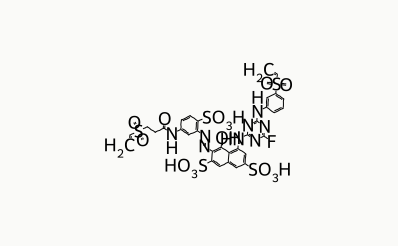 C=CS(=O)(=O)CCC(=O)Nc1ccc(S(=O)(=O)O)c(N=Nc2c(S(=O)(=O)O)cc3cc(S(=O)(=O)O)cc(Nc4nc(F)nc(Nc5cccc(S(=O)(=O)C=C)c5)n4)c3c2O)c1